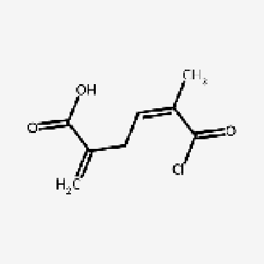 C=C(CC=C(C)C(=O)Cl)C(=O)O